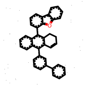 C1=Cc2c(c(-c3cccc4c3oc3ccccc34)c3ccccc3c2-c2cccc(-c3ccccc3)c2)CC1